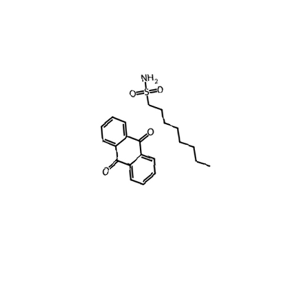 CCCCCCCCS(N)(=O)=O.O=C1c2ccccc2C(=O)c2ccccc21